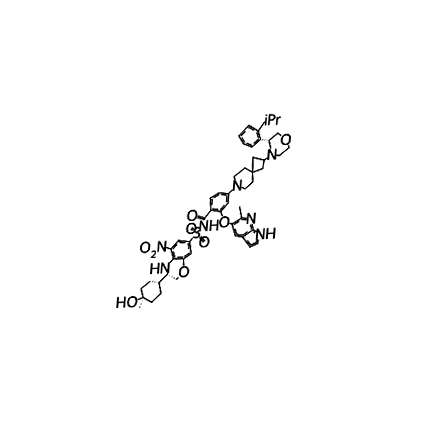 Cc1nc2[nH]ccc2cc1Oc1cc(N2CCC3(CC2)CC(N2CCOC[C@H]2c2ccccc2C(C)C)C3)ccc1C(=O)NS(=O)(=O)c1cc2c(c([N+](=O)[O-])c1)N[C@@H]([C@H]1CC[C@](C)(O)CC1)CO2